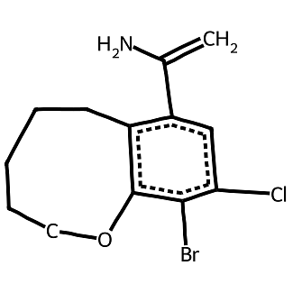 C=C(N)c1cc(Cl)c(Br)c2c1CCCCCO2